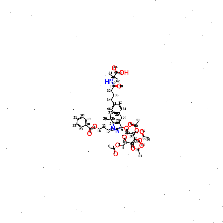 CC(=O)OC[C@H]1O[C@@H](Oc2nn(CCCOC(=O)c3ccccc3)c(C(C)C)c2Cc2ccc(CCCC(=O)NC(C)(C)C(=O)O)cc2)[C@H](OC(C)=O)[C@@H](OC(C)=O)[C@H]1OC(C)=O